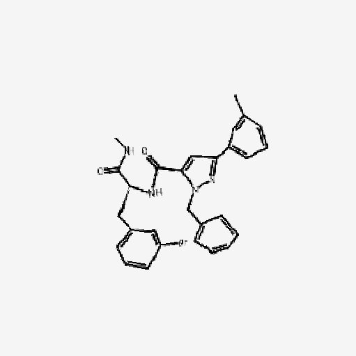 CNC(=O)[C@H](Cc1cccc(Br)c1)NC(=O)c1cc(-c2cccc(C)c2)nn1Cc1ccccc1